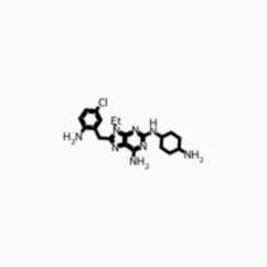 CCn1c(Cc2cc(Cl)ccc2N)nc2c(N)nc(NC3CCC(N)CC3)nc21